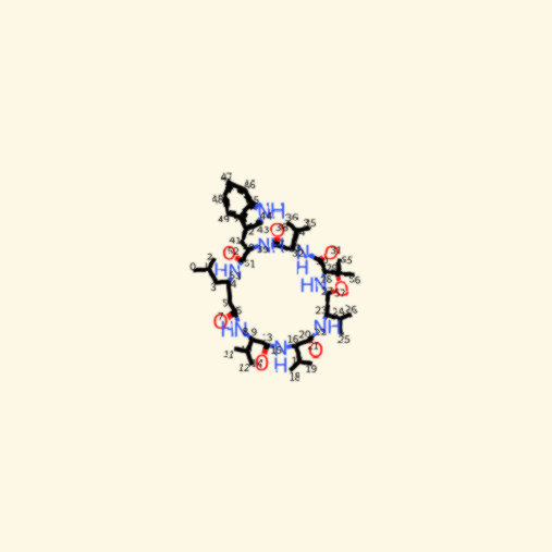 CC(C)CC1CC(=O)NC(C(C)C)C(=O)NC(C(C)C)C(=O)NC(C(C)C)C2NC(C(=O)NC(C(C)C)C(=O)NC(Cc3c[nH]c4ccccc34)C(=O)N1)C(C)(C)O2